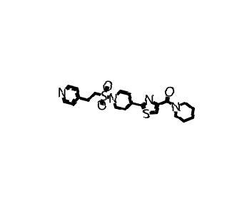 O=C(c1csc(C2CCN(S(=O)(=O)CCc3ccncc3)CC2)n1)N1CCCCC1